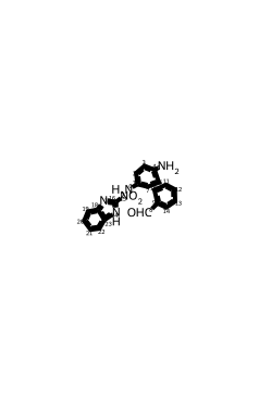 Nc1ccc(N)cc1.O=Cc1ccccc1.O=[N+]([O-])c1nc2ccccc2[nH]1